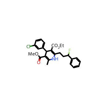 CCOC(=O)C1=C(CCC(F)c2ccccc2)NC(C)=C(C(=O)OC)C1c1cccc(Cl)c1